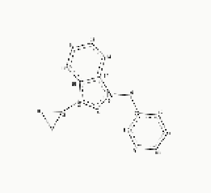 [CH]1CC1c1cn(Cc2ccccc2)c2ccccc12